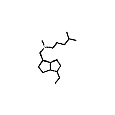 CCC1CCC2C(CN(C)CCCC(C)C)CCC12